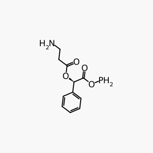 NCCC(=O)O[C@@H](C(=O)OP)c1ccccc1